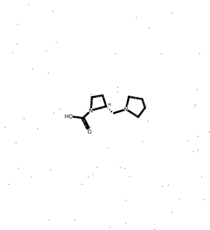 O=C(O)N1CC[C@@H]1CN1CCCC1